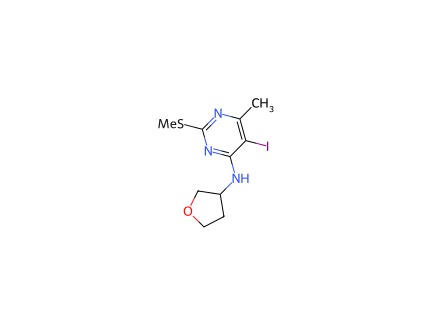 CSc1nc(C)c(I)c(NC2CCOC2)n1